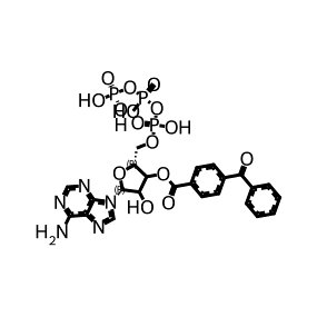 Nc1ncnc2c1ncn2[C@@H]1O[C@H](COP(=O)(O)OP(=O)(O)OP(=O)(O)O)C(OC(=O)c2ccc(C(=O)c3ccccc3)cc2)C1O